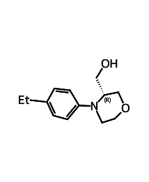 CCc1ccc(N2CCOC[C@H]2CO)cc1